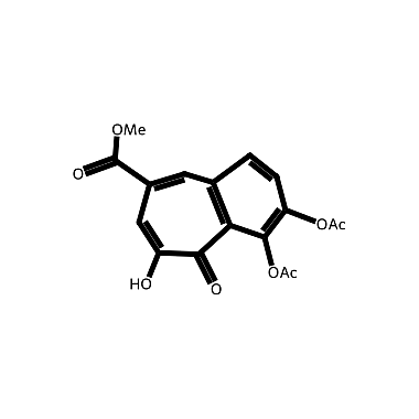 COC(=O)c1cc(O)c(=O)c2c(OC(C)=O)c(OC(C)=O)ccc2c1